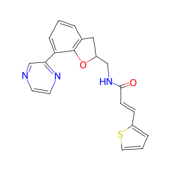 O=C(C=Cc1cccs1)NCC1Cc2cccc(-c3cnccn3)c2O1